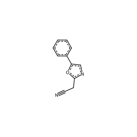 N#CCc1ncc(-c2ccccc2)o1